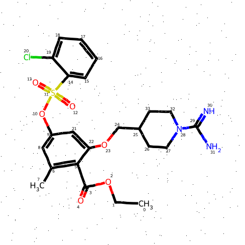 CCOC(=O)c1c(C)cc(OS(=O)(=O)c2ccccc2Cl)cc1OCC1CCN(C(=N)N)CC1